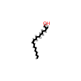 CCCCCCCC/C=C\CCCCCCC[C](C)CO